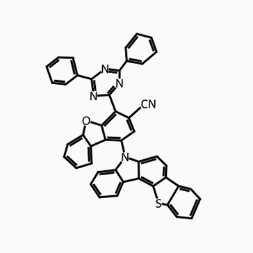 N#Cc1cc(-n2c3ccccc3c3c4sc5ccccc5c4ccc32)c2c(oc3ccccc32)c1-c1nc(-c2ccccc2)nc(-c2ccccc2)n1